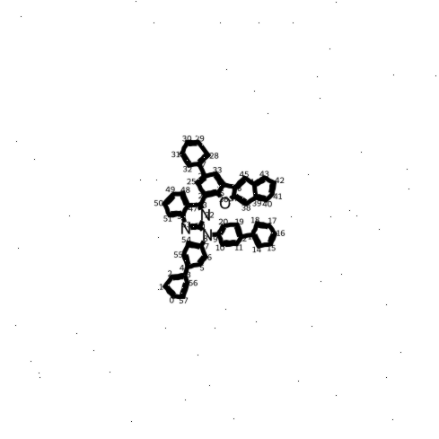 c1ccc(-c2ccc(N(c3ccc(-c4ccccc4)cc3)c3nc(-c4cc(-c5ccccc5)cc5c4oc4cc6ccccc6cc45)c4ccccc4n3)cc2)cc1